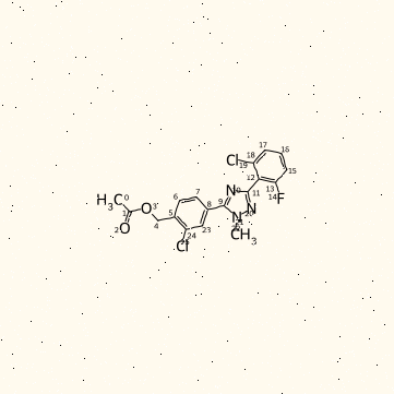 CC(=O)OCc1ccc(-c2nc(-c3c(F)cccc3Cl)nn2C)cc1Cl